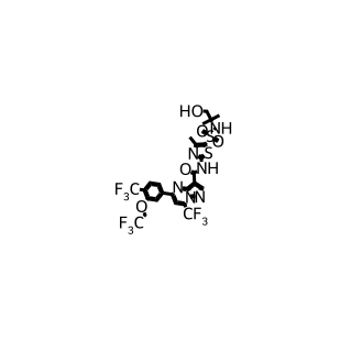 Cc1nc(NC(=O)c2cnn3c(C(F)(F)F)cc(-c4ccc(C(F)(F)F)c(OCC(F)(F)F)c4)nc23)sc1S(=O)(=O)NC(C)(C)CO